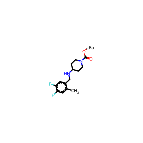 Cc1cc(F)c(F)cc1CNC1CCN(C(=O)OC(C)(C)C)CC1